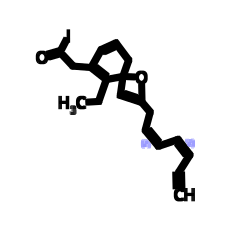 C#C/C=C\C=C/CC1=CC2(CC=CC(CC(=O)I)=C2CC)O1